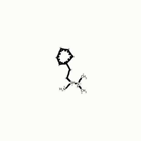 C[SiH](C)[SiH]([SiH3])CCc1ccccc1